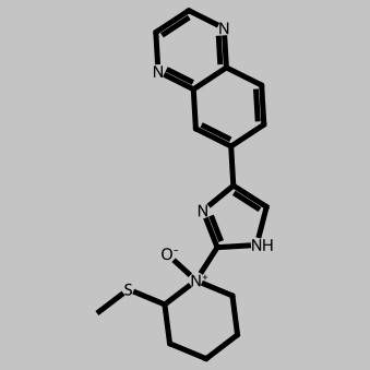 CSC1CCCC[N+]1([O-])c1nc(-c2ccc3nccnc3c2)c[nH]1